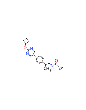 CC(CNC(=O)C1CC1)c1ccc(-c2cnc(OC3CCC3)nc2)cc1